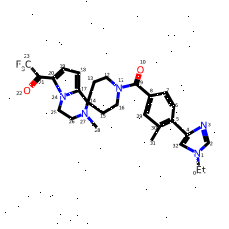 CCn1cnc(-c2ccc(C(=O)N3CCC4(CC3)c3ccc(C(=O)C(F)(F)F)n3CCN4C)cc2C)c1